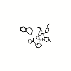 CCOC(OCC)[C@@H]1CSCN1C(=O)[C@@H]1CCCN1C(=O)C[C@H]1CCc2ccccc2C1